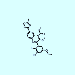 CCOc1cc(O)c(F)c(C(=Nc2ccc(-c3noc(C)n3)cc2)C(=NC(=O)OC)SC)c1